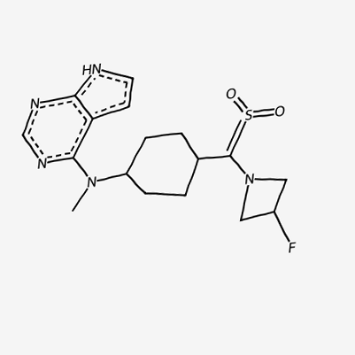 CN(c1ncnc2[nH]ccc12)C1CCC(C(N2CC(F)C2)=S(=O)=O)CC1